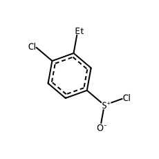 CCc1cc([S+]([O-])Cl)ccc1Cl